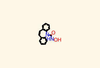 O=C(NO)N1c2ccccc2C=Cc2ccccc21